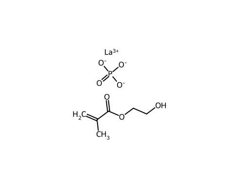 C=C(C)C(=O)OCCO.O=P([O-])([O-])[O-].[La+3]